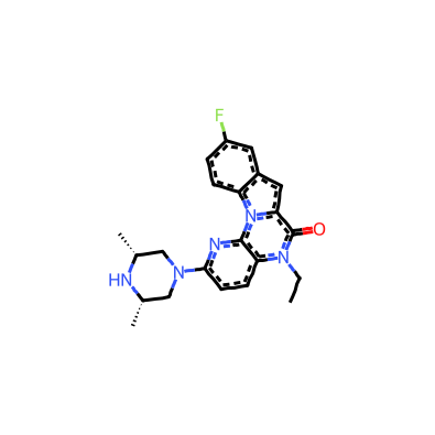 CCn1c(=O)c2cc3cc(F)ccc3n2c2nc(N3C[C@@H](C)N[C@@H](C)C3)ccc21